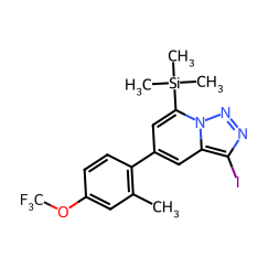 Cc1cc(OC(F)(F)F)ccc1-c1cc([Si](C)(C)C)n2nnc(I)c2c1